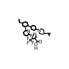 C=Cc1ccc(-c2ccc(N3CCC(C4CC4)CC3)cc2)c(-c2cccc(-n3ncc(C(=O)O)c3C(F)(F)F)n2)c1